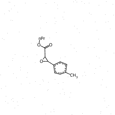 CCCOC(=O)C1OC1c1ccc(C)cc1